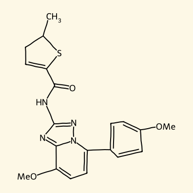 COc1ccc(-c2ccc(OC)c3nc(NC(=O)C4=CCC(C)S4)nn23)cc1